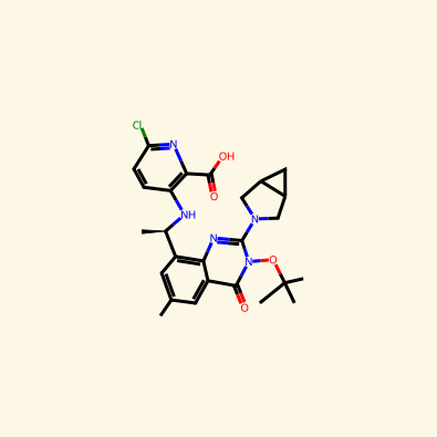 Cc1cc([C@@H](C)Nc2ccc(Cl)nc2C(=O)O)c2nc(N3CC4CC4C3)n(OC(C)(C)C)c(=O)c2c1